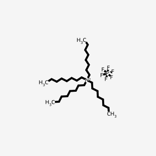 CCCCCCCC[N+](CCCCCCCC)(CCCCCCCC)CCCCCCCC.F[P-](F)(F)(F)(F)F